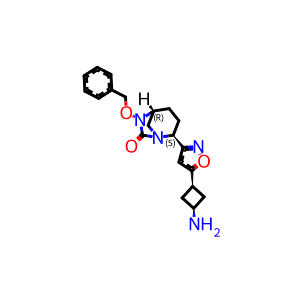 N[C@H]1C[C@@H](c2cc([C@@H]3CC[C@@H]4CN3C(=O)N4OCc3ccccc3)no2)C1